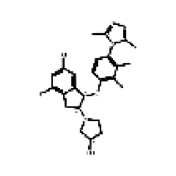 Cc1c(O[C@@H]2c3cc(Cl)cc(F)c3C[C@@H]2N2CC[C@@H](O)C2)ccc(-n2c(C)nnc2C)c1C